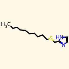 CCCCCCCCCCSCc1ncc[nH]1